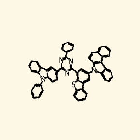 c1ccc(-c2nc(-c3ccc4c(c3)c3ccccc3n4-c3ccccc3)nc(-c3cc(-n4c5ccccc5c5c6ccccc6ccc54)cc4c3sc3ccccc34)n2)cc1